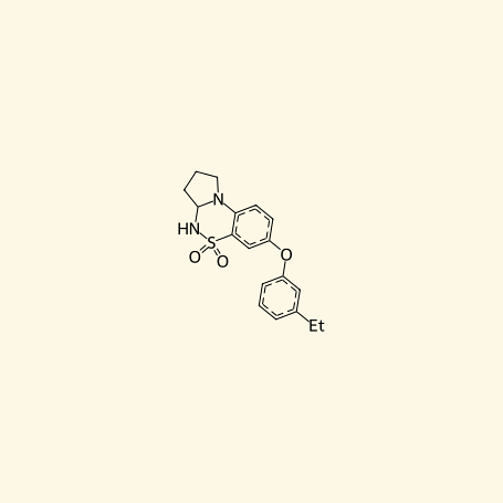 CCc1cccc(Oc2ccc3c(c2)S(=O)(=O)NC2CCCN32)c1